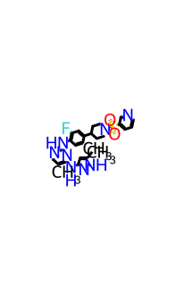 Cc1cc(Nc2nc(Nc3cc(C)c(C4CCN(S(=O)(=O)c5cccnc5)CC4)cc3F)ncc2C)n[nH]1